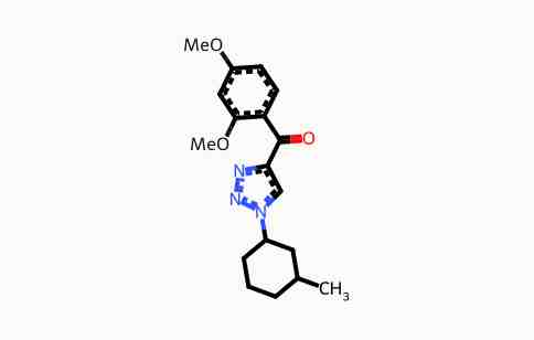 COc1ccc(C(=O)c2cn(C3CCCC(C)C3)nn2)c(OC)c1